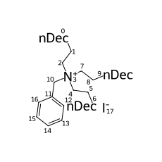 CCCCCCCCCCCC[N+](CCCCCCCCCCCC)(CCCCCCCCCCCC)Cc1ccccc1.[I-]